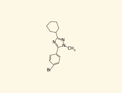 Cn1nc(C2CCCCC2)nc1-c1ccc(Br)cc1